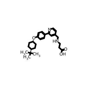 CC(C)(C)[C@H]1CC[C@H](Oc2ccc(-c3cc(CNCCC(=O)O)ccn3)cc2)CC1